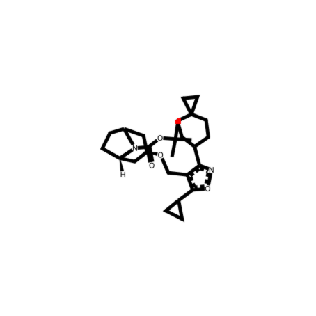 CC(C)(C)OC(=O)N1C2CC[C@H]1C[C@H](OCc1c(C3CCC4(CC3)CC4)noc1C1CC1)C2